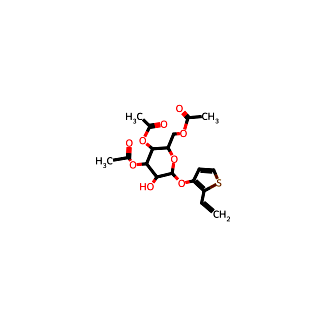 C=Cc1sccc1OC1OC(COC(C)=O)C(OC(C)=O)C(OC(C)=O)C1O